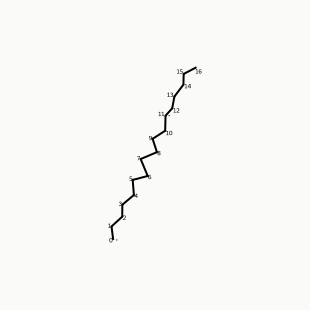 [CH2]CCCCCCCCCC[CH]CCCCC